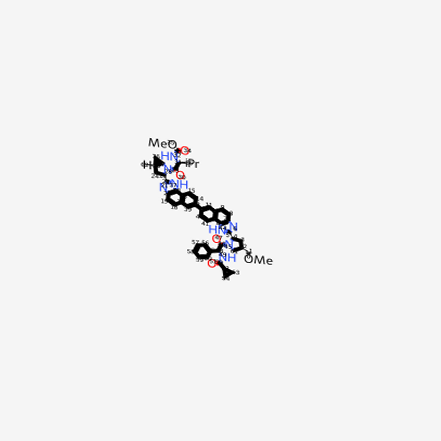 COC[C@H]1C[C@@H](c2nc3ccc4cc(-c5ccc6c(ccc7nc([C@@H]8C[C@H]9C=C9N8C(=O)[C@@H](NC(=O)OC)C(C)C)[nH]c76)c5)ccc4c3[nH]2)N(C(=O)[C@H](NC(=O)C2CC2)c2ccccc2)C1